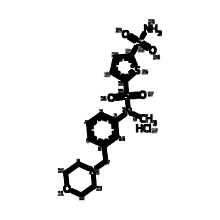 CN(c1cccc(CN2CCOCC2)c1)S(=O)(=O)c1ccc(S(N)(=O)=O)s1.Cl